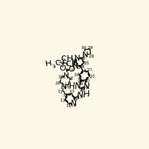 CC(C)(C)OC(=O)N1CCN(Cc2ccnc(Nc3nc4ccc(-c5cc(N6CCC6)ncn5)cc4[nH]3)c2)CC1